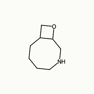 C1CCC2COC2CNC1